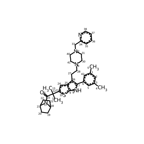 Cc1cc(C)cc(-c2[nH]c3sc(C(C)(C)C(=O)N4C5CCC4CC5)cc3c2CCN2CCN(Cc3ccccn3)CC2)c1